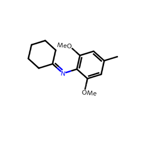 COc1cc(C)cc(OC)c1N=C1CCCCC1